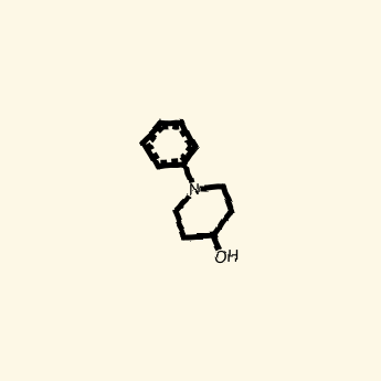 OC1CCN(c2cc[c]cc2)CC1